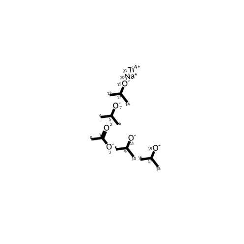 CC(=O)[O-].CC(C)[O-].CC(C)[O-].CC(C)[O-].CC(C)[O-].[Na+].[Ti+4]